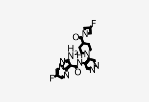 Nc1nn2cc(F)cnc2c1C(=O)Nc1cnncc1N1CCC(C(=O)N2CC(F)C2)CC1